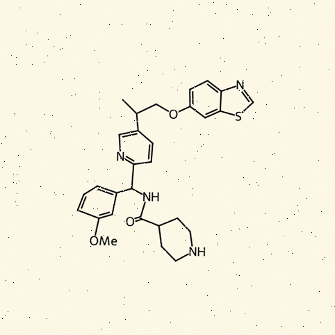 COc1cccc(C(NC(=O)C2CCNCC2)c2ccc(C(C)COc3ccc4ncsc4c3)cn2)c1